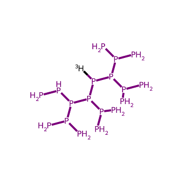 [3H]P(P(P(P)P)P(P)P)P(P(P)P)P(PP)P(P)P